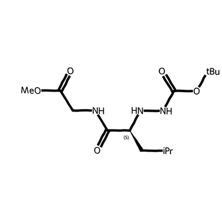 COC(=O)CNC(=O)[C@H](CC(C)C)NNC(=O)OC(C)(C)C